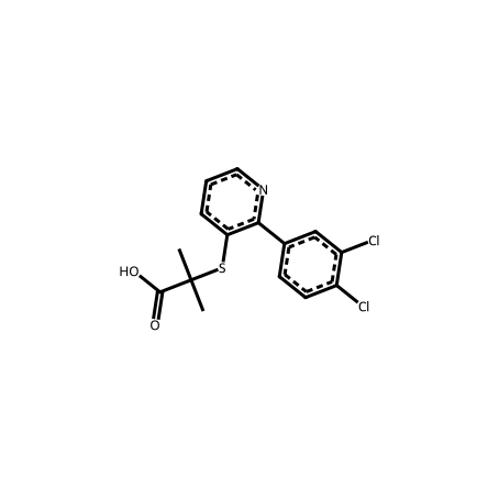 CC(C)(Sc1cccnc1-c1ccc(Cl)c(Cl)c1)C(=O)O